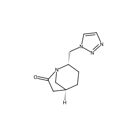 O=C1C[C@@H]2CC[C@@H](Cn3ccnn3)N1C2